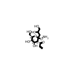 C=CC(=O)[C@@H]1[C@@H](O)[C@H](O)[C@@H](CO)OC1(CC(O)CO)ON